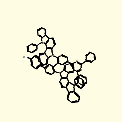 N#Cc1ccc(-c2ccc(-n3c4ccccc4c4c3ccc3c5ccccc5n(-c5ccccc5)c34)c(-c3cc(-c4nc(-c5ccccc5)nc(-c5ccccc5)n4)ccc3-n3c4ccccc4c4c3ccc3c5ccccc5n(-c5ccccc5)c34)c2)cc1